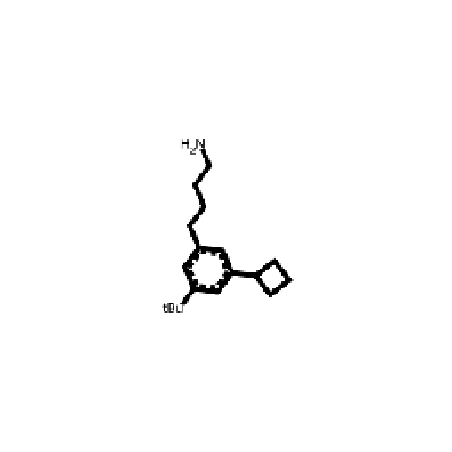 CC(C)(C)c1cc(CCCCN)cc(C2CCC2)c1